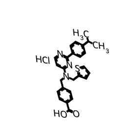 CC(C)c1ccc(-c2nccc(N(Cc3ccc(C(=O)O)cc3)Cc3cccs3)n2)cc1.Cl